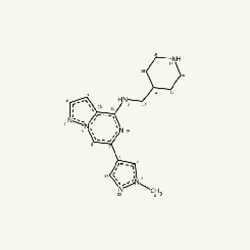 Cn1cc(-c2cn3nccc3c(NCC3CCNCC3)n2)cn1